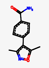 Cc1noc(C)c1-c1ccc(C(N)=O)cc1